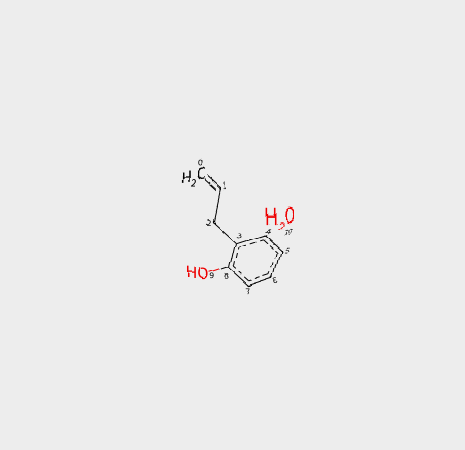 C=CCc1ccccc1O.O